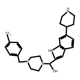 OC(c1cc2ccc(C3CCNCC3)cc2[nH]1)N1CCN(Cc2ccc(C(F)(F)F)cc2)CC1